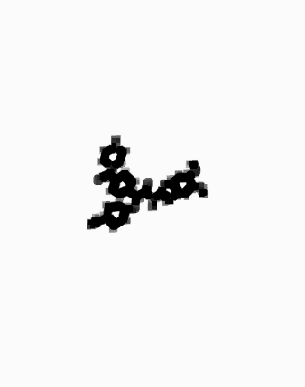 COc1cc2nc(NC(=O)C(Oc3ccc(C#N)cc3)c3ccc(C(=O)N4CCNCC4)cc3)sc2cc1OC